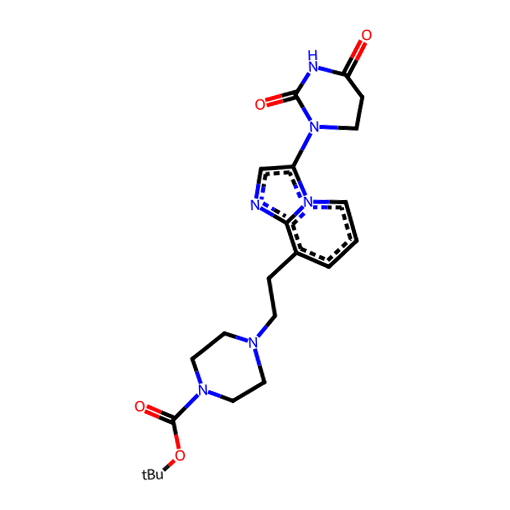 CC(C)(C)OC(=O)N1CCN(CCc2cccn3c(N4CCC(=O)NC4=O)cnc23)CC1